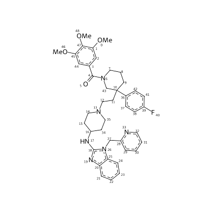 COc1cc(C(=O)N2CCCC(CCN3CCC(Nc4nc5ccccc5n4Cc4ccccn4)CC3)(c3ccc(F)cc3)C2)cc(OC)c1OC